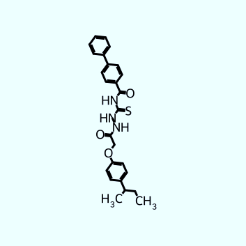 CCC(C)c1ccc(OCC(=O)NNC(=S)NC(=O)c2ccc(-c3ccccc3)cc2)cc1